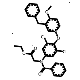 CCOC(=O)CN(C(=O)c1ccccc1)c1cc(Cl)c(Oc2ccc(OC)c(Cc3ccccc3)c2)c(Cl)c1